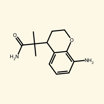 CC(C)(C(N)=O)C1CCOc2c(N)cccc21